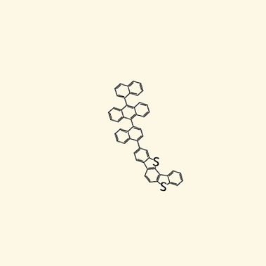 c1ccc2c(-c3c4ccccc4c(-c4ccc(-c5ccc6c(c5)sc5c6ccc6sc7ccccc7c65)c5ccccc45)c4ccccc34)cccc2c1